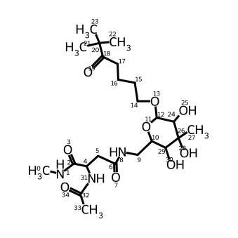 CNC(=O)C(CC(=O)NCC1OC(OCCCCC(=O)C(C)(C)C)C(O)C(C)(O)C1O)NC(C)=O